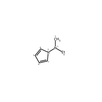 CCN(C)n1cccc1